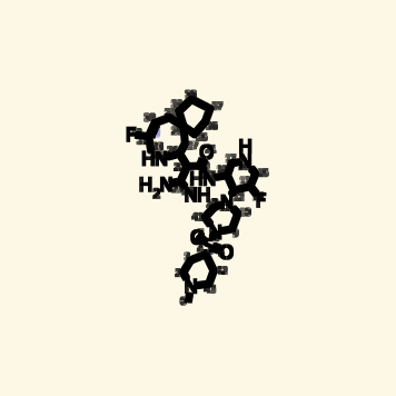 CN1CCC(S(=O)(=O)N2CCN(C3C(F)CNCC3NC(=O)C(C(N)N)C3CC4(C/C=C(/F)CN3)CCCCC4)CC2)CC1